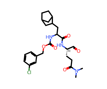 CN(C)C(=O)CC[C@@H](C=O)NC(=O)C(CC1CC2CCC1C2)NC(=O)OCc1cccc(Cl)c1